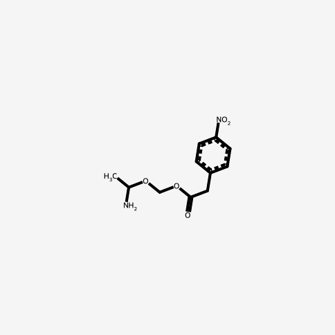 CC(N)OCOC(=O)Cc1ccc([N+](=O)[O-])cc1